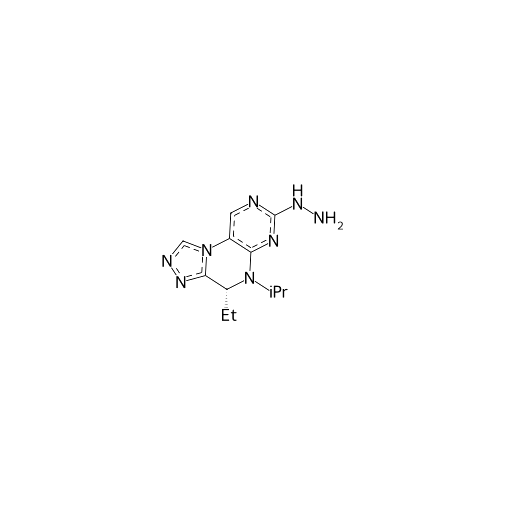 CC[C@@H]1c2nncn2-c2cnc(NN)nc2N1C(C)C